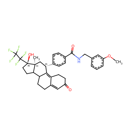 COc1cccc(CNC(=O)c2ccc([C@H]3C[C@@]4(C)C(CC[C@]4(O)C(F)(F)C(F)(F)F)C4CCC5=CC(=O)CCC5=C43)cc2)c1